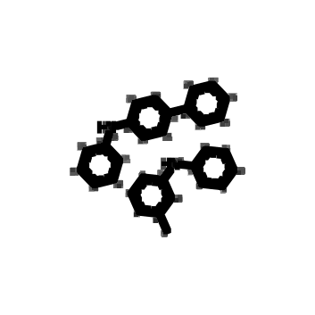 Cc1cccc(Nc2ccccc2)c1.c1ccc(Nc2ccc(-c3ccccc3)cc2)cc1